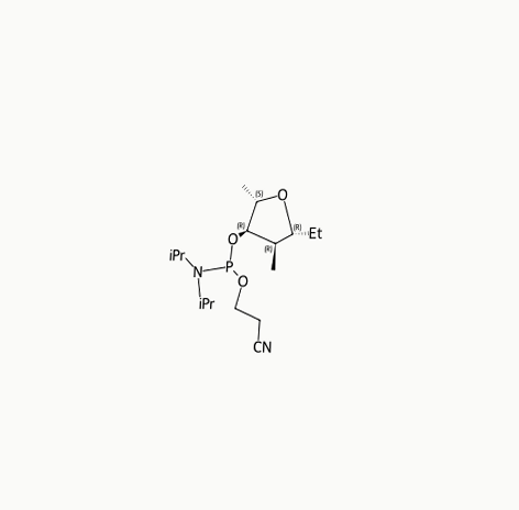 CC[C@H]1O[C@@H](C)[C@H](OP(OCCC#N)N(C(C)C)C(C)C)[C@@H]1C